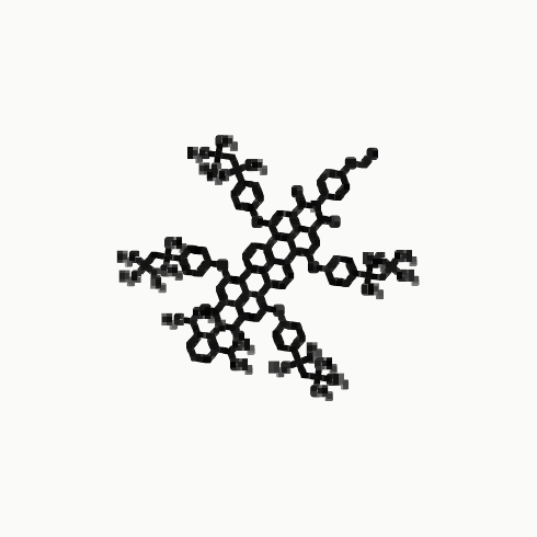 CC(C)c1cccc(C(C)C)c1N1C(=O)c2cc(Oc3ccc(C(C)(C)CC(C)(C)C)cc3)c3c4ccc5c6c(Oc7ccc(C(C)(C)CC(C)(C)C)cc7)cc7c8c(cc(Oc9ccc(C(C)(C)CC(C)(C)C)cc9)c(c9ccc(c%10c(Oc%11ccc(C(C)(C)CC(C)(C)C)cc%11)cc(c2c3%10)C1=O)c4c59)c86)C(=O)N(c1ccc(OC=O)cc1)C7=O